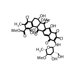 COC(=O)c1c(C)c(Cl)c2c(c1O)[C@]1(O)C(=O)c3cc4c(c(O)c3C(=O)[C@]1(OC)[C@H](O)C2)C(=O)C(Cl)=C(N[C@H]1O[C@@H](C)[C@H](OC)[C@@H](O)[C@H]1CO)C4=O